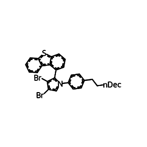 CCCCCCCCCCCCc1ccc(-n2cc(Br)c(Br)c2-c2cccc3sc4ccccc4c23)cc1